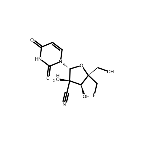 C=C1NC(=O)C=CN1[C@@H]1O[C@@](CO)(CF)[C@@H](O)[C@]1(O)C#N